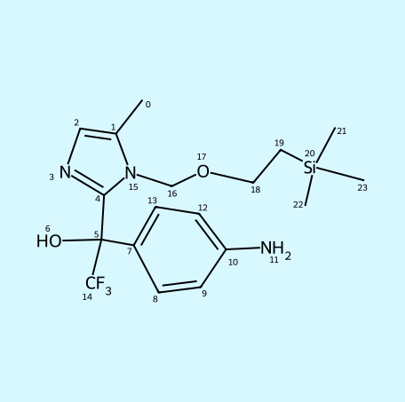 Cc1cnc(C(O)(c2ccc(N)cc2)C(F)(F)F)n1COCC[Si](C)(C)C